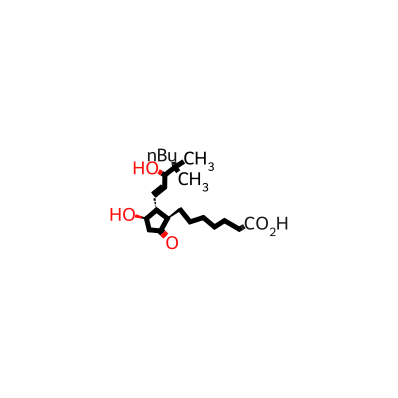 CCCCC(C)(C)C(O)/C=C/[C@H]1[C@H](O)CC(=O)[C@@H]1CCCCCCC(=O)O